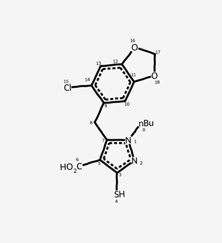 CCCCn1nc(S)c(C(=O)O)c1Cc1cc2c(cc1Cl)OCO2